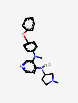 CN1CCC(N(C=O)c2ccncc2N(C)c2ccc(Oc3ccccc3)cc2)C1